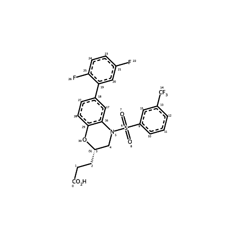 O=C(O)CC[C@H]1CN(S(=O)(=O)c2cccc(C(F)(F)F)c2)c2cc(-c3cc(F)ccc3F)ccc2O1